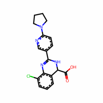 O=C(O)C1NC(c2ccc(N3CCCC3)nc2)=Nc2c(Cl)cccc21